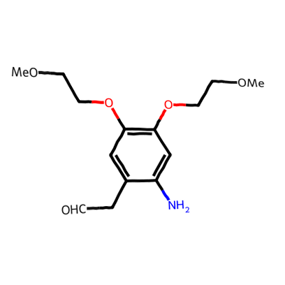 COCCOc1cc(N)c(CC=O)cc1OCCOC